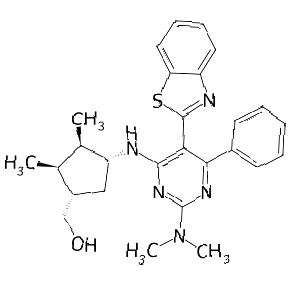 C[C@@H]1[C@@H](CO)C[C@@H](Nc2nc(N(C)C)nc(-c3ccccc3)c2-c2nc3ccccc3s2)[C@@H]1C